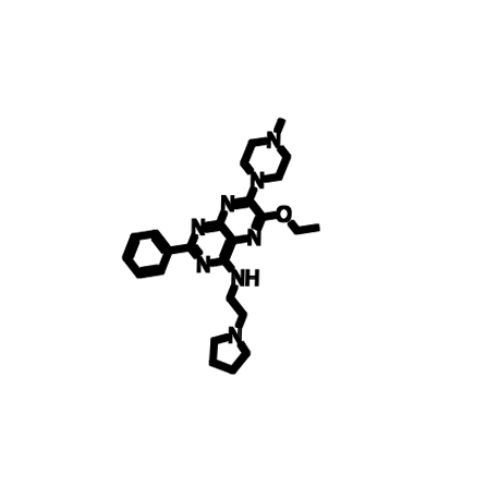 CCOc1nc2c(NCCN3CCCC3)nc(-c3ccccc3)nc2nc1N1CCN(C)CC1